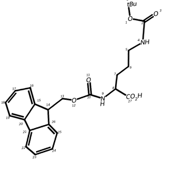 CC(C)(C)OC(=O)NCCCC(NC(=O)OCC1c2ccccc2-c2ccccc21)C(=O)O